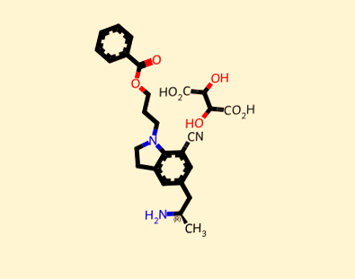 C[C@@H](N)Cc1cc(C#N)c2c(c1)CCN2CCCOC(=O)c1ccccc1.O=C(O)C(O)C(O)C(=O)O